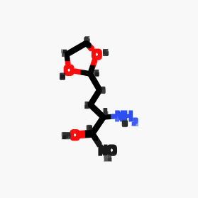 NC(CCC1OCCO1)C(=O)N=O